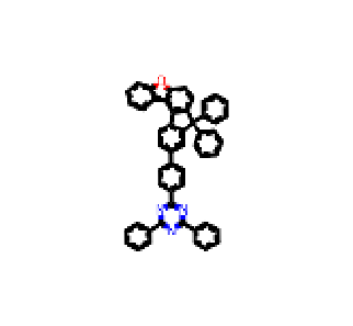 c1ccc(-c2nc(-c3ccccc3)nc(-c3ccc(-c4ccc5c(c4)C(c4ccccc4)(c4ccccc4)c4ccc6oc7ccccc7c6c4-5)cc3)n2)cc1